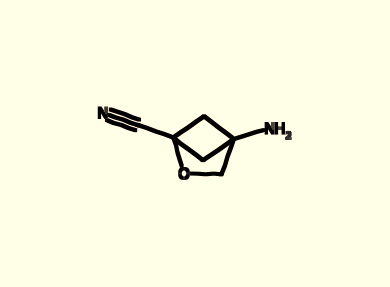 N#CC12CC(N)(CO1)C2